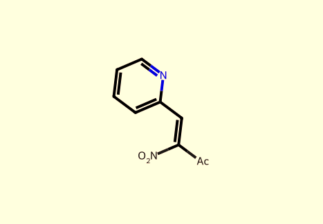 CC(=O)C(=Cc1ccccn1)[N+](=O)[O-]